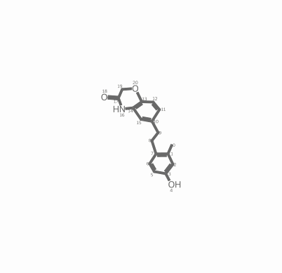 Cc1cc(O)ccc1CCc1ccc2c(c1)NC(=O)CO2